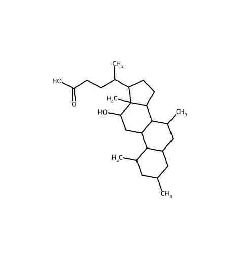 CC1CC(C)C2C(C1)CC(C)C1C2CC(O)C2(C)C(C(C)CCC(=O)O)CCC12